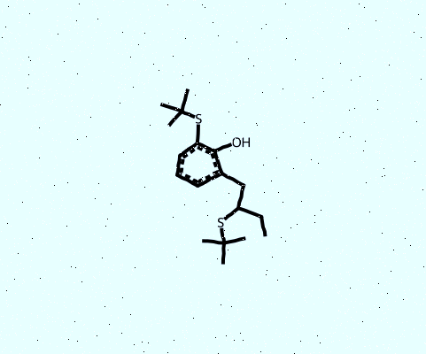 CCC(Cc1cccc(SC(C)(C)C)c1O)SC(C)(C)C